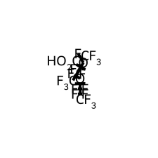 CC(C)(OC(F)(C(F)(F)F)C(F)(F)C(C)(C)OC(F)(C(=O)O)C(F)(F)F)C(F)(F)C(F)(F)C(F)(F)F